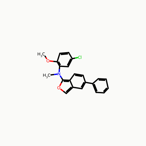 COc1ccc(Cl)cc1N(C)c1occ2cc(-c3ccccc3)ccc12